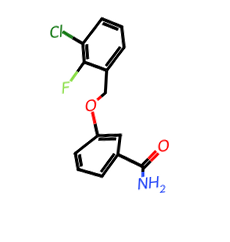 NC(=O)c1cccc(OCc2cccc(Cl)c2F)c1